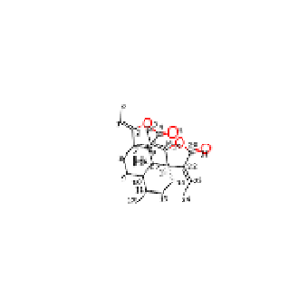 C/C=C1\OC(=O)C2=C1CCC1C(C)CC[C@@]3(/C(=C/C)OC(=O)/C3=C/C)[C@H]21